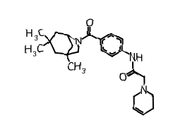 CC1(C)CC2CC(C)(CN2C(=O)c2ccc(NC(=O)CN3CC=CCC3)cc2)C1